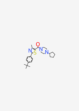 Cc1nc(-c2ccc(C(C)(C)C)cc2)sc1C(=O)N1CCN(C2CCCC2)CC1